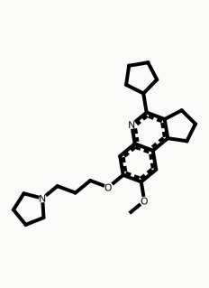 COc1cc2c3c(c(C4CCCC4)nc2cc1OCCCN1CCCC1)CCC3